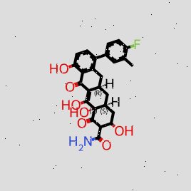 Cc1cc(-c2ccc(O)c3c2C[C@H]2C[C@H]4CC(O)C(C(N)=O)C(=O)[C@@]4(O)C(O)=C2C3=O)ccc1F